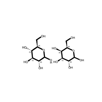 OC[C@H]1OC(O)[C@H](O)[C@@H](O)[C@@H]1O.OC[C@H]1OC(O)[C@H](O)[C@@H](O)[C@H]1O